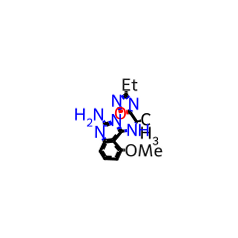 CCc1noc([C@@H](C)Nc2nc(N)nc3cccc(OC)c23)n1